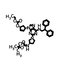 CCOC(=O)O[C@@H]1C=C[C@H](n2cnc3c(NCC(c4ccccc4)c4ccccc4)nc(N4CC[C@@H](NC(=O)OC(C)(C)C)C4)nc32)C1